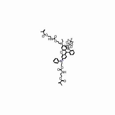 C=C(C)C(=O)OCCNC(=O)OCCN(CC)c1ccc2c(-c3ccccc3S(=O)(=O)NS(=O)(=O)C(F)(F)F)c3cc/c(=[N+](\CCOC(=O)NCCOC(=O)C(=C)C)c4ccccc4)cc-3oc2c1